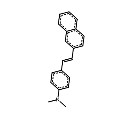 CN(C)c1ccc(C=Cc2ccc3ccccc3c2)cc1